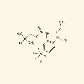 CC(=O)OCCN(C)c1ccc(S(F)(F)(F)(F)F)cc1NC(=O)OCC(C)(C)Cl